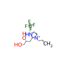 C=CC[n+]1cc[nH]c1CC(O)CO.F[B-](F)(F)F